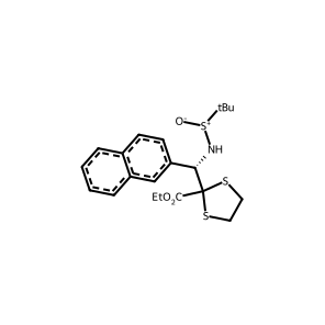 CCOC(=O)C1([C@@H](N[S+]([O-])C(C)(C)C)c2ccc3ccccc3c2)SCCS1